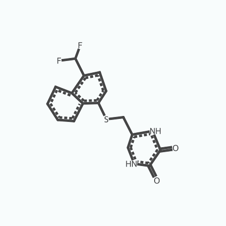 O=c1[nH]cc(CSc2ccc(C(F)F)c3ccccc23)[nH]c1=O